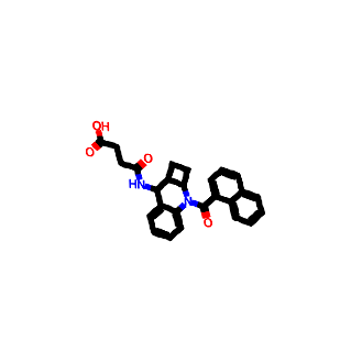 O=C(O)CCC(=O)NC1c2ccccc2N(C(=O)c2cccc3ccccc23)C2CCC12